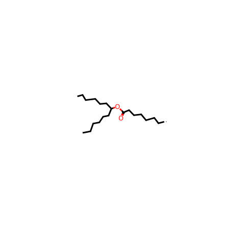 [CH2]CCCCCCC(=O)OC(CCCCCC)CCCCCC